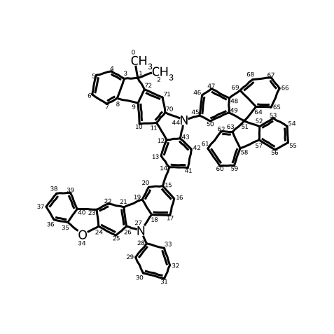 CC1(C)c2ccccc2-c2cc3c4cc(-c5ccc6c(c5)c5cc7c(cc5n6-c5ccccc5)oc5ccccc57)ccc4n(-c4ccc5c(c4)C4(c6ccccc6-c6ccccc64)c4ccccc4-5)c3cc21